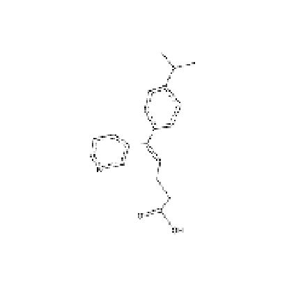 CC(C)c1ccc(/C(=C/CCC(=O)O)c2cccnc2)cc1